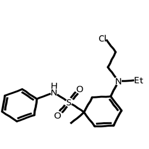 CCN(CCCl)C1=CC=CC(C)(S(=O)(=O)Nc2ccccc2)C1